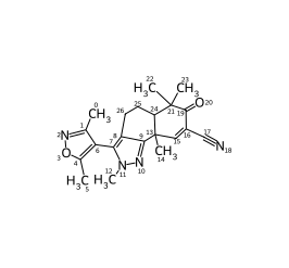 Cc1noc(C)c1-c1c2c(nn1C)C1(C)C=C(C#N)C(=O)C(C)(C)C1CC2